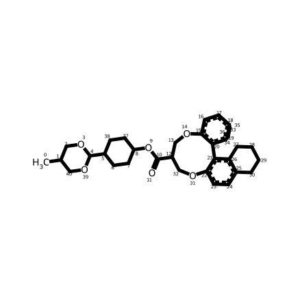 CC1COC(C2CCC(OC(=O)C3COc4ccc5c(c4-c4c(ccc6c4CCCC6)OC3)CCCC5)CC2)OC1